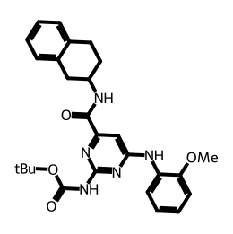 COc1ccccc1Nc1cc(C(=O)NC2CCc3ccccc3C2)nc(NC(=O)OC(C)(C)C)n1